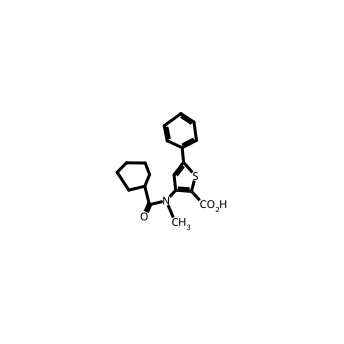 CN(C(=O)C1CCCCC1)c1cc(-c2ccccc2)sc1C(=O)O